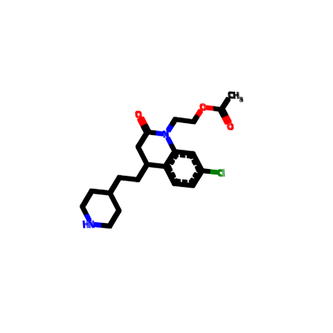 CC(=O)OCCN1C(=O)CC(CCC2CCNCC2)c2ccc(Cl)cc21